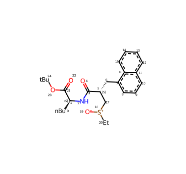 CCCC[C@H](NC(=O)[C@H](Cc1cccc2ccccc12)C[S+]([O-])CC)C(=O)OC(C)(C)C